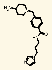 NC1CCN(Cc2ccc(C(=O)NCCCn3ccnc3)cc2)CC1